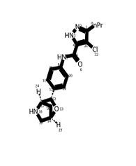 CCCc1n[nH]c(C(=O)Nc2ccc([C@@H]3O[C@H]4CN[C@@H]3C4)cc2)c1Cl